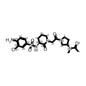 CC(=O)N(C)C1CCN(C(=O)CN2CCC[C@H](NS(=O)(=O)c3ccc(N)c(Cl)c3)C2=O)C1